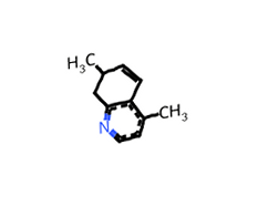 Cc1ccnc2c1C=CC(C)C2